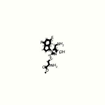 COC(=O)[C@@H](N)CSSc1ncc(CN)n1C1CCc2c(F)cc(F)cc21.Cl